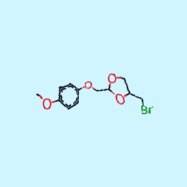 COc1ccc(OCC2OCC(CBr)O2)cc1